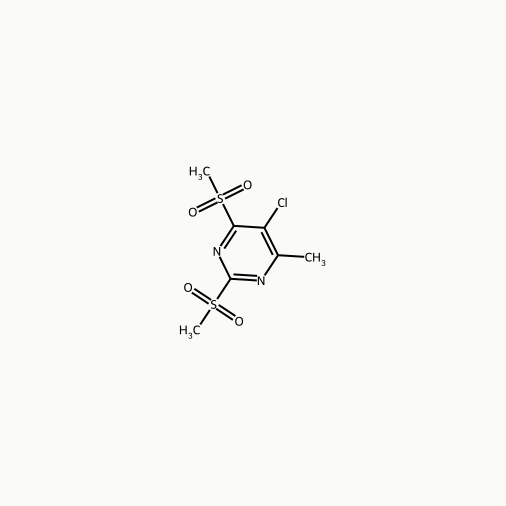 Cc1nc(S(C)(=O)=O)nc(S(C)(=O)=O)c1Cl